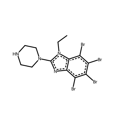 CCn1c(N2CCNCC2)nc2c(Br)c(Br)c(Br)c(Br)c21